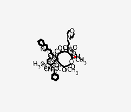 CC[C@H]1OC(=O)[C@H](C)C(=O)[C@H](C)[C@@H](O[C@@H]2O[C@H](C)C[C@H](N(C)C)[C@H]2OC(=O)c2ccccc2)[C@](C)(OC/C=C/c2cnc3ccccc3c2)C[C@@H](C)C(=O)[C@H](C)[C@H]2N(CCCN3CCOCC3)C(=O)O[C@]12C